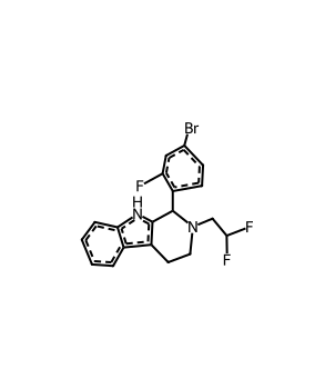 Fc1cc(Br)ccc1C1c2[nH]c3ccccc3c2CCN1CC(F)F